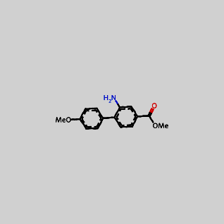 COC(=O)c1ccc(-c2ccc(OC)cc2)c(N)c1